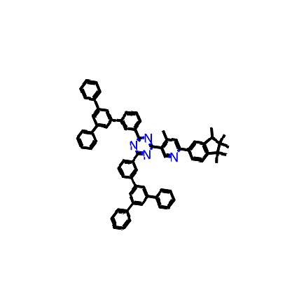 Cc1cc(-c2ccc3c(c2)C(C)C(C)(C)C3(C)C)ncc1-c1nc(-c2cccc(-c3cc(-c4ccccc4)cc(-c4ccccc4)c3)c2)nc(-c2cccc(-c3cc(-c4ccccc4)cc(-c4ccccc4)c3)c2)n1